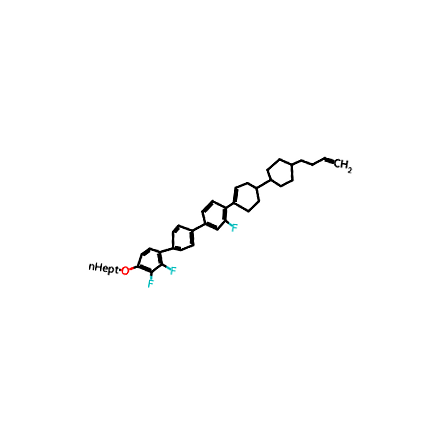 C=CCCC1CCC(C2CC=C(c3ccc(-c4ccc(-c5ccc(OCCCCCCC)c(F)c5F)cc4)cc3F)CC2)CC1